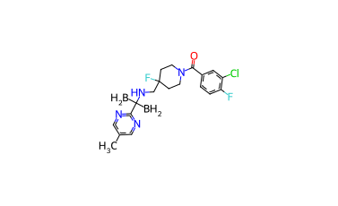 BC(B)(NCC1(F)CCN(C(=O)c2ccc(F)c(Cl)c2)CC1)c1ncc(C)cn1